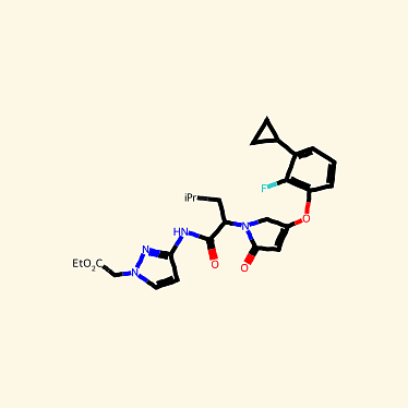 CCOC(=O)Cn1ccc(NC(=O)C(CC(C)C)N2CC(Oc3cccc(C4CC4)c3F)=CC2=O)n1